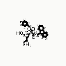 NCCCC[C@H](C(=O)O)N(C(=O)OCc1ccccc1)C(=O)OCC1c2ccccc2-c2ccccc21